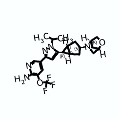 CC(C)n1nc(-c2cnc(N)c(OC(F)(F)F)c2)cc1[C@H]1[C@@H]2C[C@@H](N3C[C@H]4C[C@@H]3CO4)C[C@@H]21